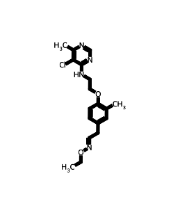 CCON=CCc1ccc(OCCNc2ncnc(C)c2Cl)c(C)c1